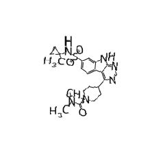 CN(C)C(=O)N1CCC(c2ncnc3[nH]c4cc(S(=O)(=O)NC5(C)CC5)ccc4c23)CC1